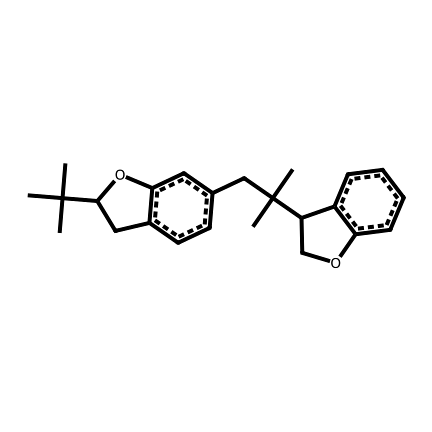 CC(C)(C)C1Cc2ccc(CC(C)(C)C3COc4ccccc43)cc2O1